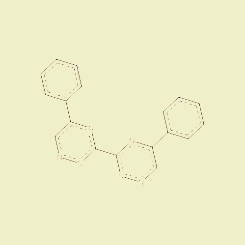 c1ccc(-c2cnnc(-c3nncc(-c4ccccc4)n3)n2)cc1